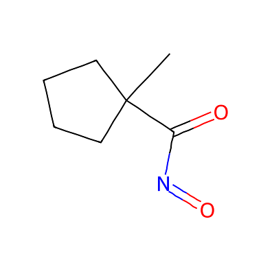 CC1(C(=O)N=O)CCCC1